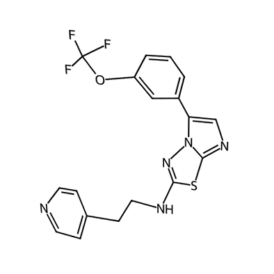 FC(F)(F)Oc1cccc(-c2cnc3sc(NCCc4ccncc4)nn23)c1